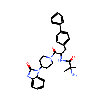 CC(C)(N)C(=O)NC(Cc1ccc(-c2ccccc2)cc1)C(=O)N1CCC(n2c(=O)[nH]c3ccccc32)CC1